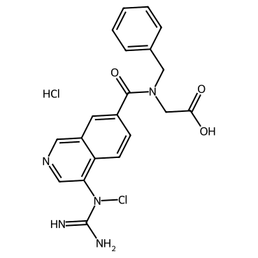 Cl.N=C(N)N(Cl)c1cncc2cc(C(=O)N(CC(=O)O)Cc3ccccc3)ccc12